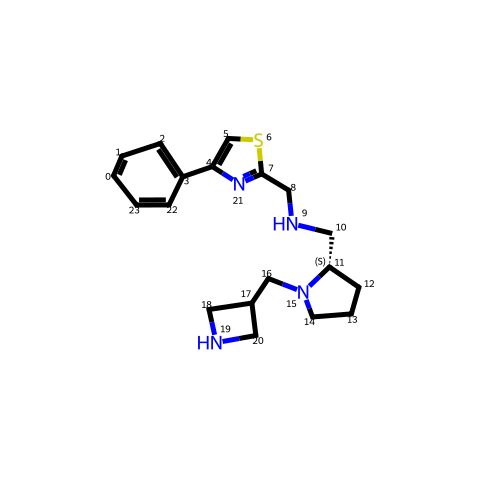 c1ccc(-c2csc(CNC[C@@H]3CCCN3CC3CNC3)n2)cc1